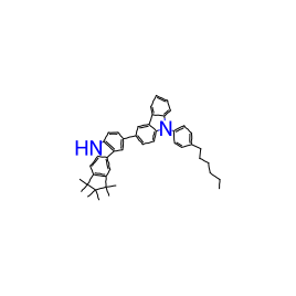 CCCCCCc1ccc(-n2c3ccccc3c3cc(-c4ccc5[nH]c6cc7c(cc6c5c4)C(C)(C)C(C)(C)C7(C)C)ccc32)cc1